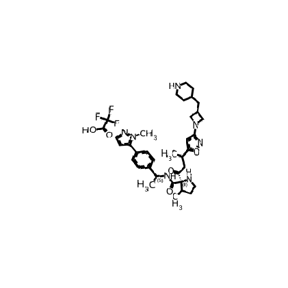 CC(CC(=O)[C@]1(C(=O)N[C@@H](C)c2ccc(-c3ccnn3C)cc2)NCCC1C)c1cc(N2CC(CC3CCNCC3)C2)no1.O=C(O)C(F)(F)F